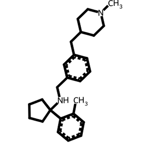 Cc1ccccc1C1(NCc2cccc(CC3CCN(C)CC3)c2)CCCC1